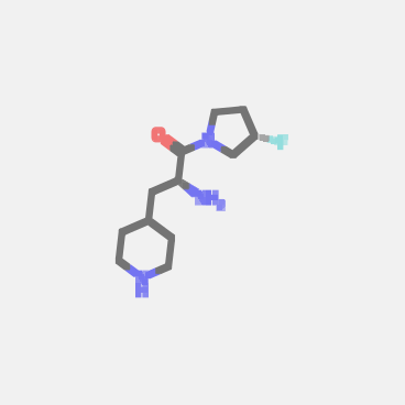 N[C@@H](CC1CCNCC1)C(=O)N1CC[C@H](F)C1